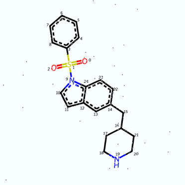 O=S(=O)(c1ccccc1)n1ccc2cc(CC3CCNCC3)ccc21